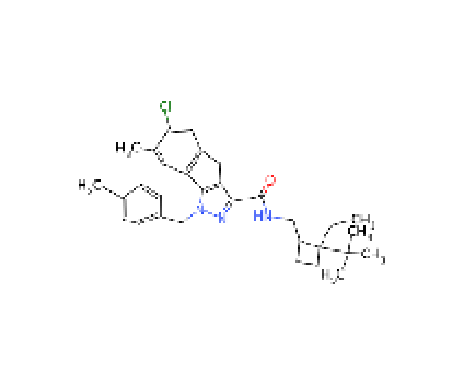 CCC1(C(C)(C)C)CCC1CNC(=O)c1nn(Cc2ccc(C)cc2)c2c1Cc1cc(Cl)c(C)cc1-2